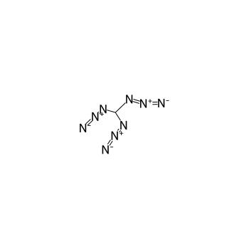 [N-]=[N+]=NC(N=[N+]=[N-])N=[N+]=[N-]